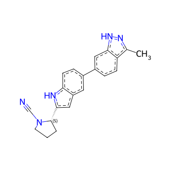 Cc1n[nH]c2cc(-c3ccc4[nH]c([C@@H]5CCCN5C#N)cc4c3)ccc12